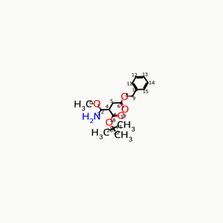 COC(N)C(CC(=O)OCc1ccccc1)C(=O)OC(C)(C)C